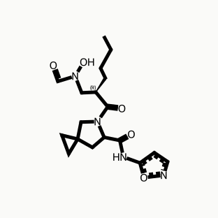 CCCC[C@H](CN(O)C=O)C(=O)N1CC2(CC2)CC1C(=O)Nc1ccno1